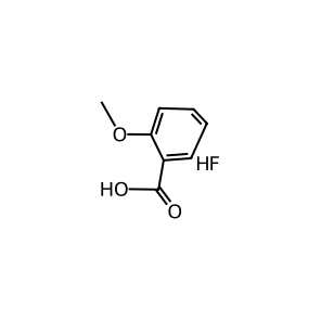 COc1ccccc1C(=O)O.F